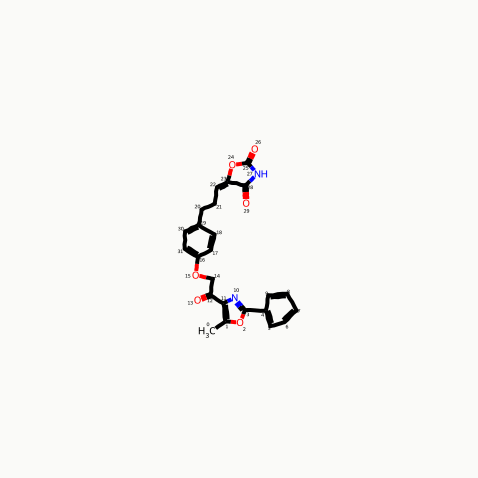 Cc1oc(-c2ccccc2)nc1C(=O)COc1ccc(CCC=C2OC(=O)NC2=O)cc1